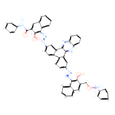 O=C(Nc1ccccc1)c1cc2ccccc2c(N=Nc2ccc3c4ccc(N=Nc5c(O)c(CONc6ccccc6)cc6ccccc56)cc4c4nc5ccccc5nc4c3c2)c1O